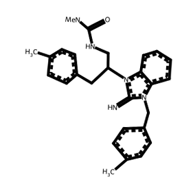 CNC(=O)NCC(Cc1ccc(C)cc1)n1c(=N)n(Cc2ccc(C)cc2)c2ccccc21